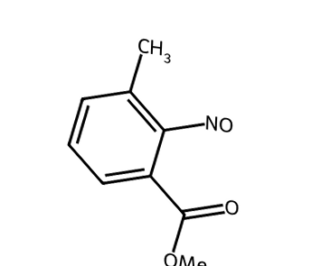 COC(=O)c1cccc(C)c1N=O